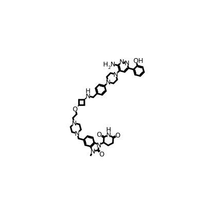 Cn1c(=O)n(C2CCC(=O)NC2=O)c2ccc(CN3CCN(CCO[C@H]4C[C@H](NCc5ccc(N6CCN(c7cc(-c8ccccc8O)nnc7N)CC6)cc5)C4)CC3)cc21